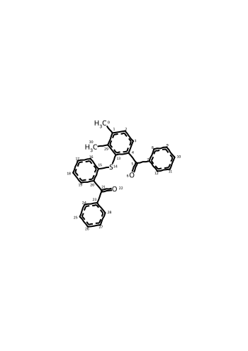 Cc1ccc(C(=O)c2ccccc2)c(Sc2ccccc2C(=O)c2ccccc2)c1C